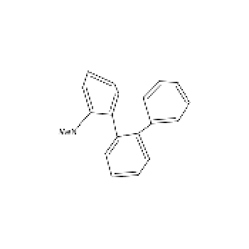 CNc1ccccc1-c1ccccc1-c1ccccc1